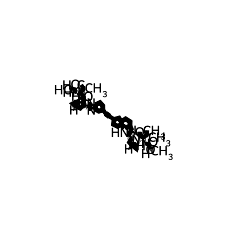 COC(=O)N[C@H](C(=O)N1[C@@H]2C[C@@H]2C[C@H]1c1nc2ccc3cc(C#Cc4ccc5[nH]c([C@@H]6C[C@H]7C[C@H]7N6C(=O)[C@@H](NC(=O)O)C(C)C)nc5c4)ccc3c2[nH]1)C(C)C